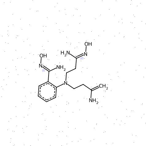 C=C(N)CCN(CC/C(N)=N/O)c1ccccc1/C(N)=N/O